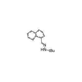 CC(C)(C)NN=Cc1cccc2ccccc12